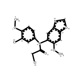 COc1ccc(N(C(=O)CCl)c2cc3ncoc3cc2OC)cc1Cl